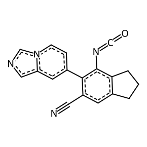 N#Cc1cc2c(c(N=C=O)c1-c1ccn3cncc3c1)CCC2